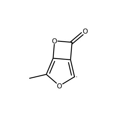 Cc1o[c]c2c1OC2=O